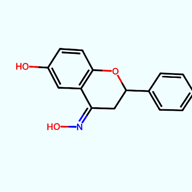 O/N=C1/CC(c2ccccc2)Oc2ccc(O)cc21